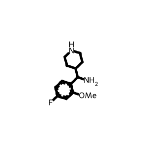 COc1cc(F)ccc1C(N)C1CCNCC1